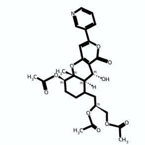 CC(=O)OC[C@H](CC1CC[C@@H](OC(C)=O)[C@]2(C)Oc3cc(-c4cccnc4)oc(=O)c3[C@H](O)[C@@H]12)OC(C)=O